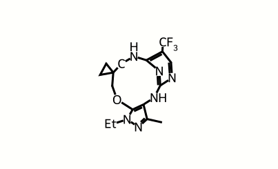 CCn1nc(C)c2c1OCC1(CC1)CNc1nc(ncc1C(F)(F)F)N2